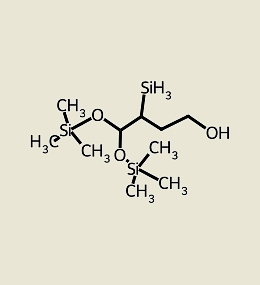 C[Si](C)(C)OC(O[Si](C)(C)C)C([SiH3])CCO